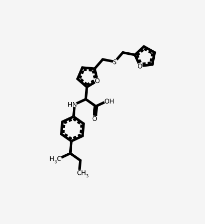 CCC(C)c1ccc(NC(C(=O)O)c2ccc(CSCc3ccco3)o2)cc1